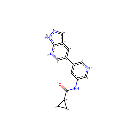 O=C(Nc1cncc(-c2cnc3[nH]ncc3c2)c1)C1CC1